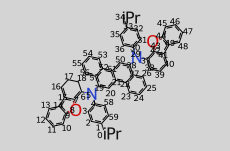 CC(C)c1ccc(N(C2=c3oc4ccccc4c3=CCC2)c2cc3c4ccccc4c(N(c4ccc(C(C)C)cc4)c4cccc5c4oc4ccccc45)cc3c3ccccc23)cc1